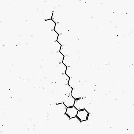 COc1ccc2ccccc2c1C(=O)OCCCCCCCCCCCCCC(C)C